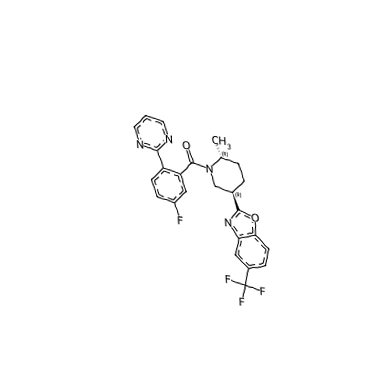 C[C@@H]1CC[C@@H](c2nc3cc(C(F)(F)F)ccc3o2)CN1C(=O)c1cc(F)ccc1-c1ncccn1